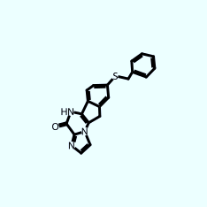 O=c1[nH]c2c(n3ccnc13)Cc1cc(SCc3ccccc3)ccc1-2